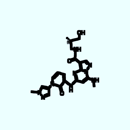 CNc1cc(Nc2cccn(-c3cnn(C)c3)c2=O)nc2c(C(=O)NC[C@H](C)CO)cnn12